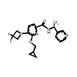 O=C(N[C@H](c1cccnc1)C(F)(F)F)c1ccc(N2CC(F)(F)C2)c(OCC2CC2)n1